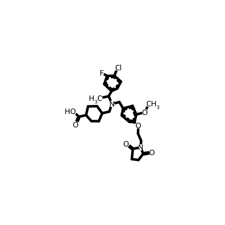 COc1cc(CN(CC2CCC(C(=O)O)CC2)C(C)c2ccc(Cl)c(F)c2)ccc1OCCN1C(=O)CCC1=O